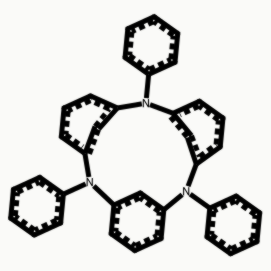 c1ccc(N2c3cccc(c3)N(c3ccccc3)c3cccc(c3)N(c3ccccc3)c3cccc2c3)cc1